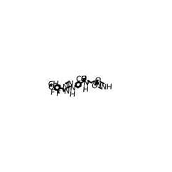 COc1ccc(-c2cnc3c(Nc4ccc(C(=O)NCCCS(=O)(=O)N5CCNCC5)c(C)c4)nccn23)c(F)c1F